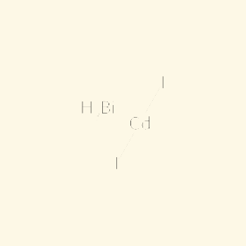 [BiH3].[I][Cd][I]